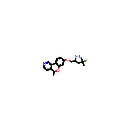 CC1Oc2cc(OCC(N)CC(C)(C)F)ccc2-c2cnccc21